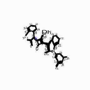 C=C(C)/C(=C1\C(=O)C(c2c(C)n(-c3cc(C)cc(C)c3)c3ccccc23)=C1O)c1ccccc1C